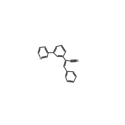 N#CC(=Cc1ccccc1)c1cccc(-c2cccnc2)c1